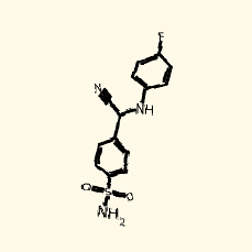 N#CC(Nc1ccc(F)cc1)c1ccc(S(N)(=O)=O)cc1